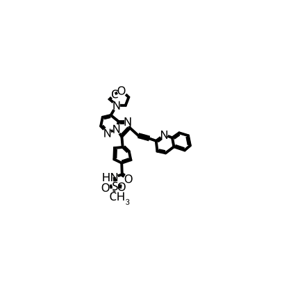 CS(=O)(=O)NC(=O)c1ccc(-c2c(C#Cc3ccc4ccccc4n3)nc3c(N4CCOCC4)ccnn23)cc1